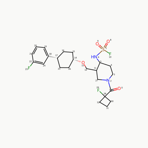 O=C(N1CCC(NS(=O)(=O)F)C(CO[C@H]2CC[C@@H](c3cccc(F)c3)CC2)C1)C1(F)CCC1